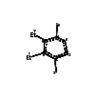 [CH2]c1ccc(C)c(CC)c1CC